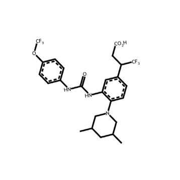 CC1CC(C)CN(c2ccc(C(CC(=O)O)C(F)(F)F)cc2NC(=O)Nc2ccc(OC(F)(F)F)cc2)C1